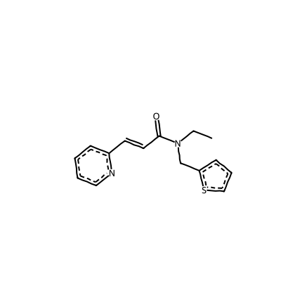 CCN(Cc1cccs1)C(=O)/C=C/c1ccccn1